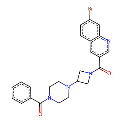 O=C(c1ccccc1)N1CCN(C2CN(C(=O)c3cnc4cc(Br)ccc4c3)C2)CC1